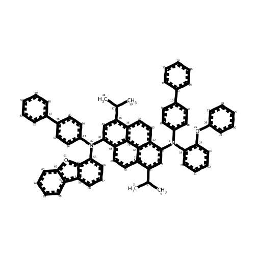 CC(C)c1cc(N(c2ccc(-c3ccccc3)cc2)c2ccccc2Oc2ccccc2)c2ccc3c(C(C)C)cc(N(c4ccc(-c5ccccc5)cc4)c4cccc5c4oc4ccccc45)c4ccc1c2c34